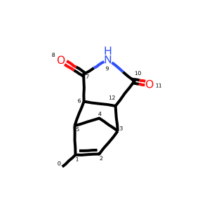 CC1=CC2CC1C1C(=O)NC(=O)C21